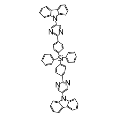 c1ccc([Si](c2ccccc2)(c2ccc(-c3ncc(-n4c5ccccc5c5ccccc54)cn3)cc2)c2ccc(-c3ncc(-n4c5ccccc5c5ccccc54)cn3)cc2)cc1